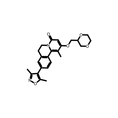 Cc1noc(C)c1-c1ccc2c(c1)CCn1c-2c(C)c(OCC2COCCO2)cc1=O